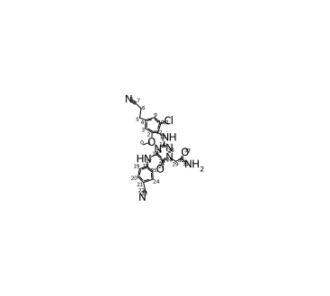 COc1cc(CCC#N)cc(Cl)c1Nc1nc(Nc2ccc(C#N)cc2)c(=O)n(CC(N)=O)n1